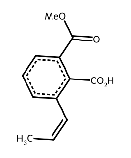 C/C=C\c1cccc(C(=O)OC)c1C(=O)O